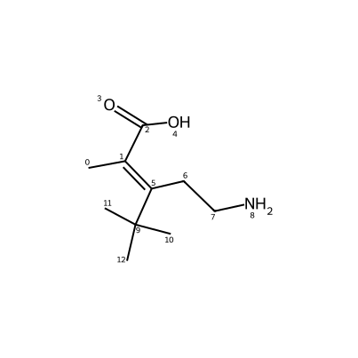 CC(C(=O)O)=C(CCN)C(C)(C)C